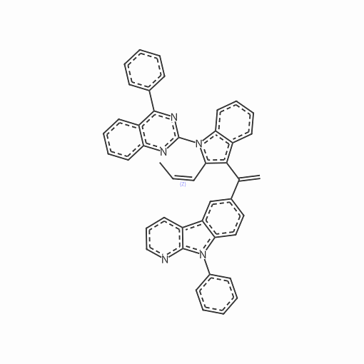 C=C(c1ccc2c(c1)c1cccnc1n2-c1ccccc1)c1c(/C=C\C)n(-c2nc(-c3ccccc3)c3ccccc3n2)c2ccccc12